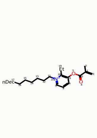 C=C(C)C(=O)Oc1ccc[n+](CCCCCCCCCCCCCCCC)c1CC